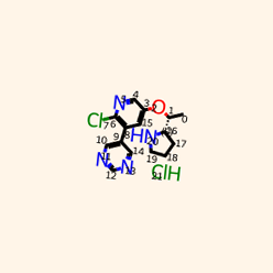 CC(Oc1cnc(Cl)c(-c2cncnc2)c1)[C@@H]1CCCN1.Cl